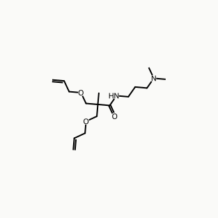 C=CCOCC(C)(COCC=C)C(=O)NCCCN(C)C